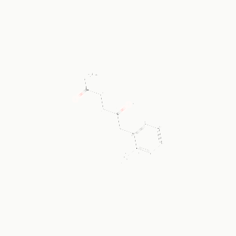 COC(=O)CCC(=O)Cc1ccccc1[N+](=O)[O-]